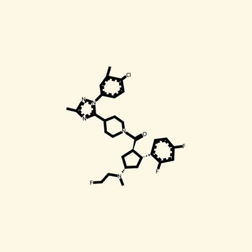 Cc1nc(C2CCN(C(=O)[C@@H]3C[C@@H](N(C)CCF)C[C@H]3c3ccc(F)cc3F)CC2)n(-c2ccc(Cl)c(C)c2)n1